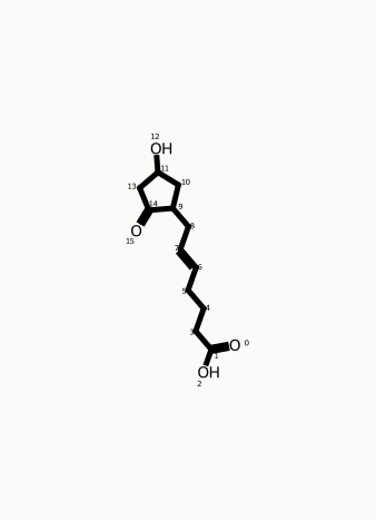 O=C(O)CCCC=CCC1CC(O)CC1=O